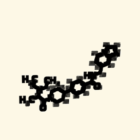 CCN(CC)C(C)C(=O)N1CCC(c2ccc(C(=O)NCc3ccn4ccnc4c3)cc2)CC1